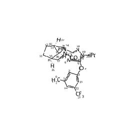 Cc1cc(Oc2nc(N[C@H]3[C@@H]4CC[C@H]3CN(C(=O)O)C4)nn2C(C)C)cc(C(F)(F)F)c1